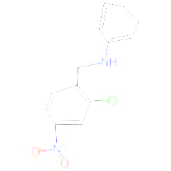 O=[N+]([O-])c1ccc(CNc2ccccc2)c(Cl)c1